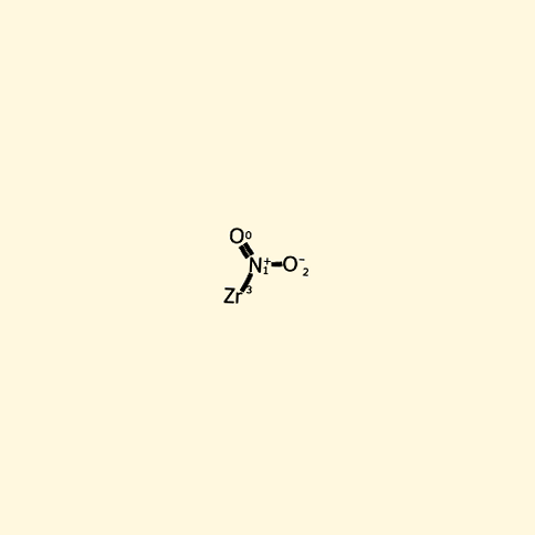 O=[N+]([O-])[Zr]